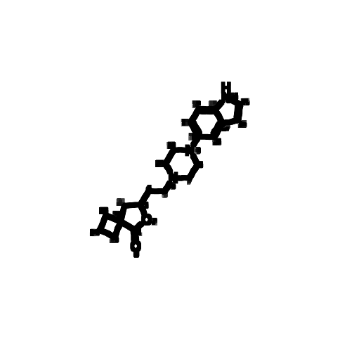 O=C1OC(CCN2CCN(c3ccc4[nH]ccc4c3)CC2)CC12CCC2